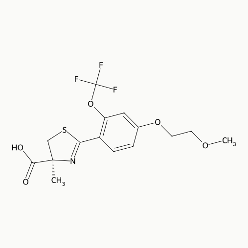 COCCOc1ccc(C2=N[C@@](C)(C(=O)O)CS2)c(OC(F)(F)F)c1